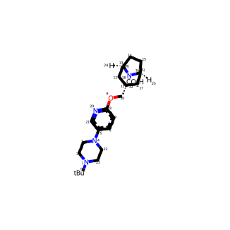 CC(C)(C)N1CCN(c2ccc(OC[C@@H]3C[C@H]4CC[C@@H](C3)N4C(=O)O)nc2)CC1